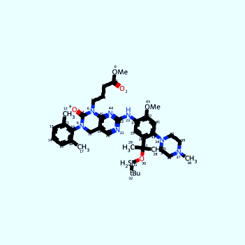 COC(=O)CCCN1C(=O)N(c2c(C)cccc2C)Cc2cnc(Nc3cc(C(C)(C)O[SiH2]C(C)(C)C)c(N4CCN(C)CC4)cc3OC)nc21